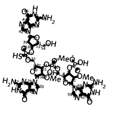 COC1C(OP(=O)(O)OC)[C@@H](COP(=O)(O)OC2C(OC)[C@H](n3cnc4c(=O)[nH]c(N)nc43)O[C@@H]2COP(=O)(S)OC2C[C@H](n3cnc4c(=O)[nH]c(N)nc43)O[C@@H]2CO)O[C@H]1n1cnc2c(=O)[nH]c(N)nc21